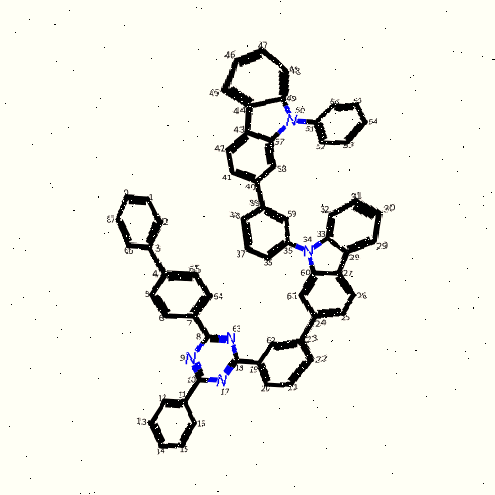 c1ccc(-c2ccc(-c3nc(-c4ccccc4)nc(-c4cccc(-c5ccc6c7ccccc7n(-c7cccc(-c8ccc9c%10ccccc%10n(-c%10ccccc%10)c9c8)c7)c6c5)c4)n3)cc2)cc1